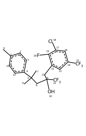 Cc1ccc(C(C)(C)CC(O)(Cc2cc(C(F)(F)F)cc(Cl)c2F)C(F)(F)F)cc1